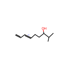 C=C/C=C/CCC(O)C(C)C